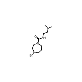 CCN1CCCN(C(=O)NCCN(C)C)CC1